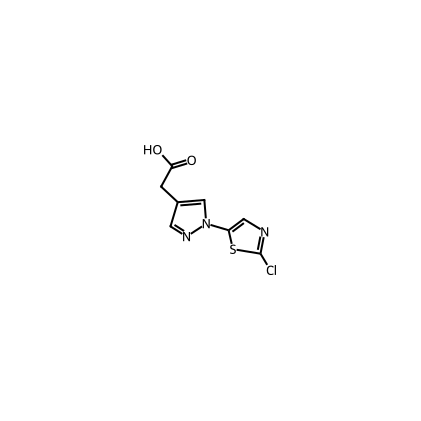 O=C(O)Cc1cnn(-c2cnc(Cl)s2)c1